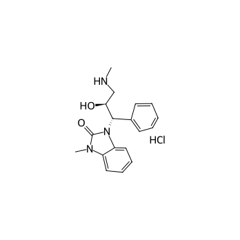 CNC[C@H](O)[C@H](c1ccccc1)n1c(=O)n(C)c2ccccc21.Cl